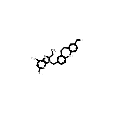 CCc1nc2c(C)cc(C)nc2n1Cc1ccc2c(c1)CCc1cc(C=O)ccc1N2